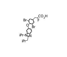 CC(C)Cc1nc2ccc(Oc3c(Br)cc(CC(F)C(=O)O)cc3Br)cc2n1C(C)C